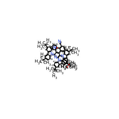 CC(C)(C)c1ccc2c(c1)c1cc(C(C)(C)C)ccc1n2-c1nc(-n2c3ccc(C(C)(C)C)cc3c3cc(C(C)(C)C)ccc32)c(-n2c3ccc(C(C)(C)C)cc3c3cc(C(C)(C)C)ccc32)c(-c2cccc(C#N)c2C#N)c1-c1ccccc1